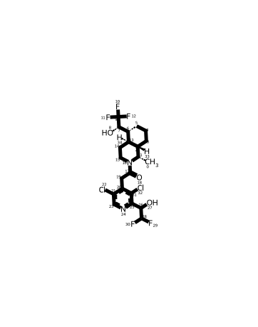 C[C@H]1[C@H]2CCC[C@@H]([C@H](O)C(F)(F)F)[C@@H]2CCN1C(=O)Cc1c(Cl)cnc(C(O)C(F)F)c1Cl